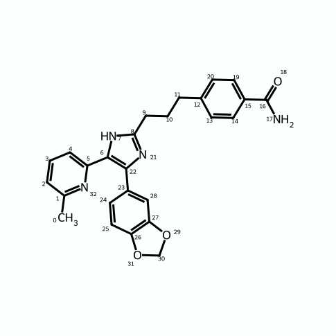 Cc1cccc(-c2[nH]c(CCCc3ccc(C(N)=O)cc3)nc2-c2ccc3c(c2)OCO3)n1